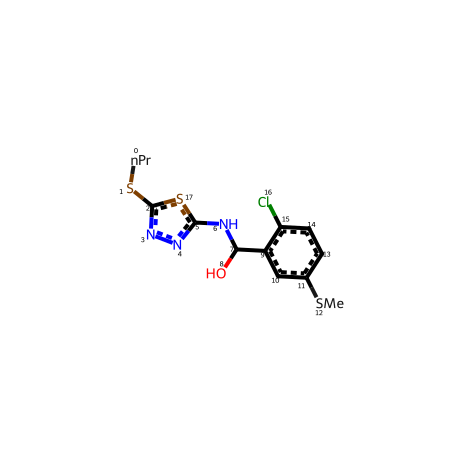 CCCSc1nnc(NC(O)c2cc(SC)ccc2Cl)s1